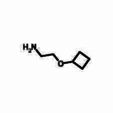 NCCOC1CCC1